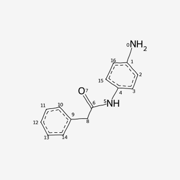 Nc1ccc(NC(=O)Cc2ccccc2)cc1